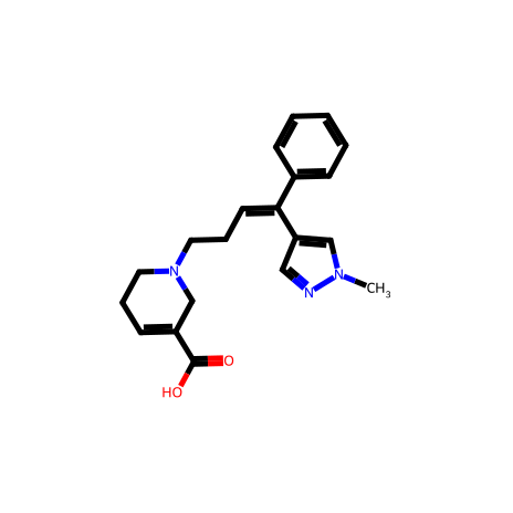 Cn1cc(C(=CCCN2CCC=C(C(=O)O)C2)c2ccccc2)cn1